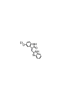 CCOc1ccc2c(c1)/C(=C/c1nc3ccccc3[nH]1)C(=O)N2